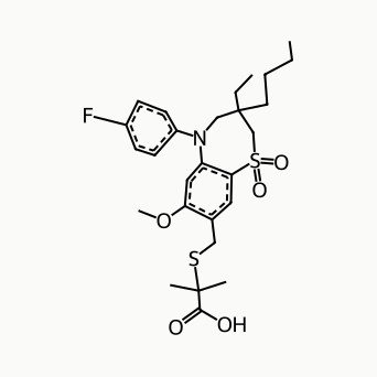 CCCCC1(CC)CN(c2ccc(F)cc2)c2cc(OC)c(CSC(C)(C)C(=O)O)cc2S(=O)(=O)C1